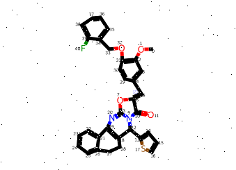 COc1cc(/C=c2\oc3n(c2=O)C(c2cccs2)C2=C(N=3)c3ccccc3CC2)ccc1OCc1ccccc1F